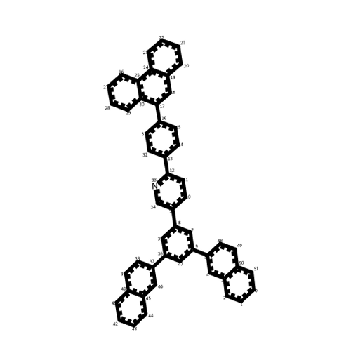 c1ccc2cc(-c3cc(-c4ccc(-c5ccc(-c6cc7ccccc7c7ccccc67)cc5)nc4)cc(-c4ccc5ccccc5c4)c3)ccc2c1